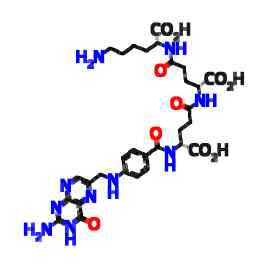 NCCCC[C@@H](NC(=O)CC[C@@H](NC(=O)CC[C@@H](NC(=O)c1ccc(NCc2cnc3nc(N)[nH]c(=O)c3n2)cc1)C(=O)O)C(=O)O)C(=O)O